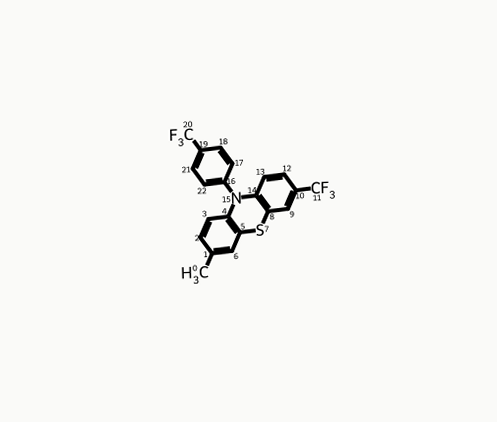 Cc1ccc2c(c1)Sc1cc(C(F)(F)F)ccc1N2c1ccc(C(F)(F)F)cc1